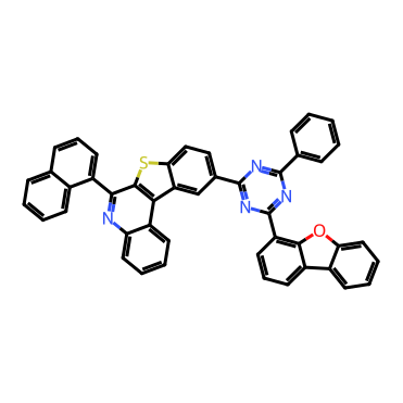 c1ccc(-c2nc(-c3ccc4sc5c(-c6cccc7ccccc67)nc6ccccc6c5c4c3)nc(-c3cccc4c3oc3ccccc34)n2)cc1